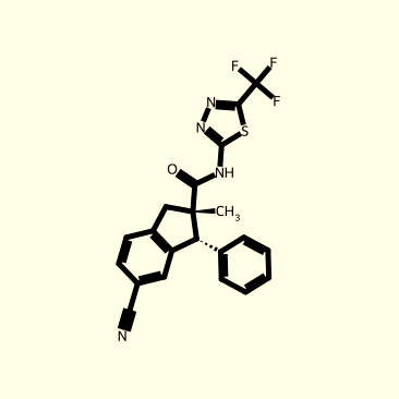 C[C@]1(C(=O)Nc2nnc(C(F)(F)F)s2)Cc2ccc(C#N)cc2[C@H]1c1ccccc1